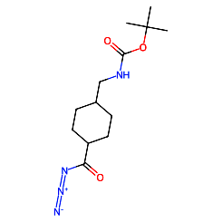 CC(C)(C)OC(=O)NCC1CCC(C(=O)N=[N+]=[N-])CC1